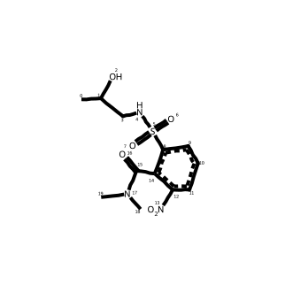 CC(O)CNS(=O)(=O)c1cccc([N+](=O)[O-])c1C(=O)N(C)C